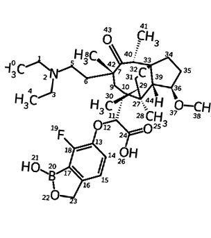 CCN(CC)CC[C@@]1(C)C[C@@H](C(Oc2ccc3c(c2F)B(O)OC3)C(=O)O)[C@@]2(C)[C@H](C)CC[C@]3(CC[C@@H](OC)[C@@H]32)[C@@H](C)C1=O